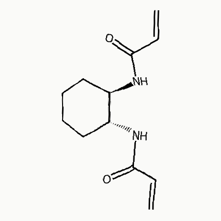 C=CC(=O)N[C@@H]1CCCC[C@H]1NC(=O)C=C